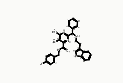 O=C(NCc1ccc(F)cc1)c1nc(C(NCCc2c[nH]c3ccccc23)c2ccccc2)nc(O)c1O